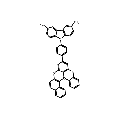 Cc1ccc2c(c1)c1cc(C)ccc1n2-c1ccc(-c2cc3c4c(c2)Oc2ccc5ccccc5c2P4(=S)c2ccccc2O3)cc1